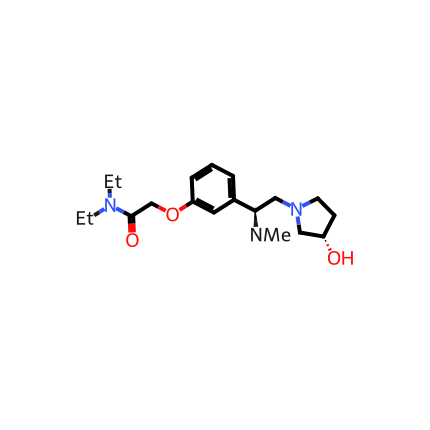 CCN(CC)C(=O)COc1cccc([C@@H](CN2CC[C@H](O)C2)NC)c1